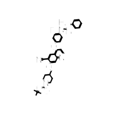 CC(C)(C)OC(=O)N1CCC(COc2cc3nccc(Oc4ccc(NC(=O)Oc5ccccc5)c(F)c4)c3cc2C#N)CC1